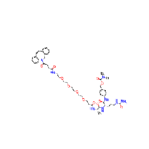 CCN(CC)C(=O)OCc1ccc(NC(=O)[C@H](CCCNC(N)=O)NC(=O)[C@@H](NC(=O)CCOCCOCCOCCOCCNC(=O)CCC(=O)N2Cc3ccccc3/C=C\c3ccccc32)C(C)C)cc1